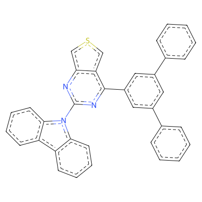 c1ccc(-c2cc(-c3ccccc3)cc(-c3nc(-n4c5ccccc5c5ccccc54)nc4cscc34)c2)cc1